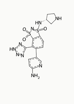 Nc1ccc(-c2ccc3c(c2-c2nn[nH]n2)S(=O)(=O)N=S3(=O)N[C@@H]2CCNC2)cn1